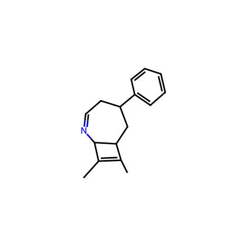 CC1=C(C)C2N=CCC(c3ccccc3)CC12